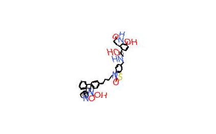 O=C(O)N(c1cc(CCCCn2c(=O)sc3cc(CNC[C@H](O)c4ccc(O)c5[nH]c(=O)ccc45)ccc32)ccc1-c1ccccc1)[C@H]1CN2CCC1CC2